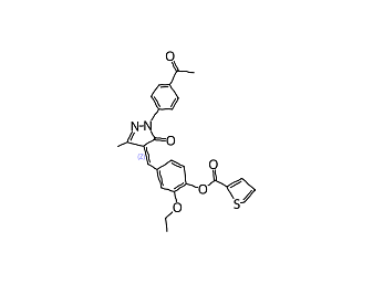 CCOc1cc(/C=C2\C(=O)N(c3ccc(C(C)=O)cc3)N=C2C)ccc1OC(=O)c1cccs1